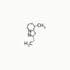 CCc1cc2c(C)cccn2n1